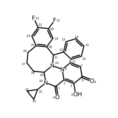 O=C1c2c(O)c(=O)ccn2N2C(c3ccccc3)c3cc(F)c(F)cc3CCCC2N1C1CC1